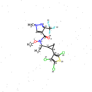 CON(C(=O)c1cn(C)nc1C(F)(F)F)C(C)C1CC1c1c(Cl)sc(Cl)c1Cl